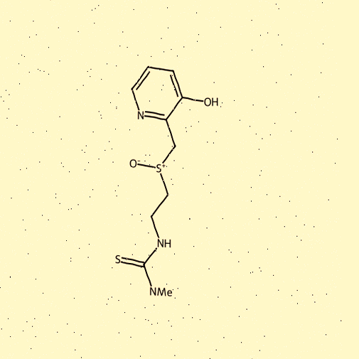 CNC(=S)NCC[S+]([O-])Cc1ncccc1O